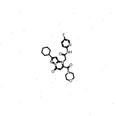 O=C(Cn1c(C(=O)N2CCOCC2)cc(=O)n2nc(C3CCCCC3)cc12)Nc1ccc(F)cn1